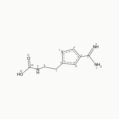 N=C(N)c1csc(CCNC(=O)O)c1